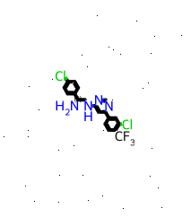 N[C@H](CNc1cc(-c2ccc(C(F)(F)F)c(Cl)c2)ncn1)c1ccc(Cl)cc1